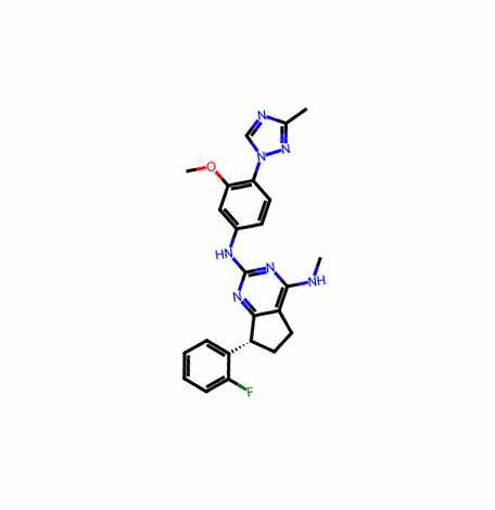 CNc1nc(Nc2ccc(-n3cnc(C)n3)c(OC)c2)nc2c1CC[C@@H]2c1ccccc1F